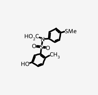 CSc1ccc(N(C(=O)O)S(=O)(=O)c2cc(O)ccc2C)cc1